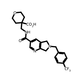 O=C(NCC1(C(=O)O)CCOCC1)c1cnc2c(c1)CN(Cc1ccc(C(F)(F)F)cc1)C2